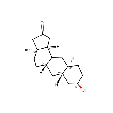 C[C@@]12CC[C@H]3C[C@H]4C[C@H](O)CC[C@@H]4CC3[C@H]1CC(=O)C2